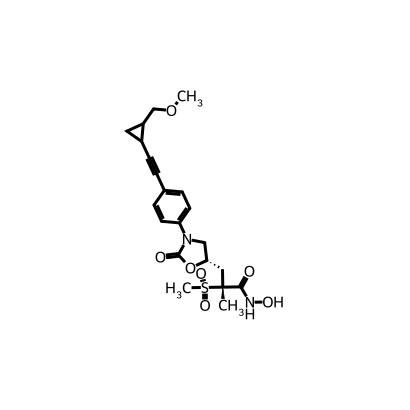 COCC1CC1C#Cc1ccc(N2C[C@H](C[C@](C)(C(=O)NO)S(C)(=O)=O)OC2=O)cc1